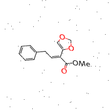 COC(=O)C(=CCc1ccccc1)C1=COCO1